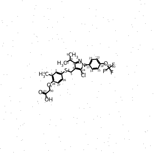 Cc1cc(SCc2c(C(C)C)nn(-c3ccc(OC(F)(F)F)cc3)c2Cl)ccc1OCC(=O)O